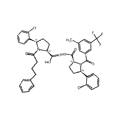 Cc1cc(C(=O)N2[C@@H](c3ccccc3Cl)CC[C@H]2C(=O)O)cc(C(F)(F)F)c1.O=C(O)[C@@H]1CC[C@H](c2ccccc2Cl)N1C(=O)CCCc1ccccc1